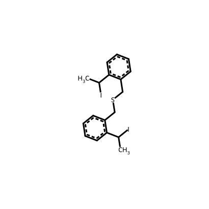 CC(I)c1ccccc1CSCc1ccccc1C(C)I